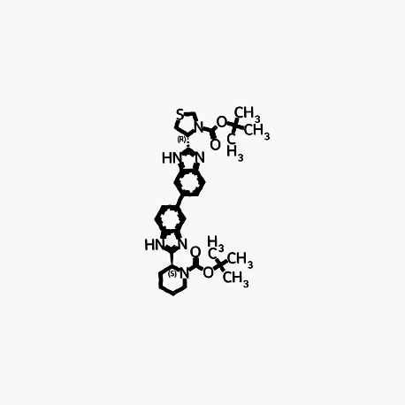 CC(C)(C)OC(=O)N1CCCC[C@H]1c1nc2cc(-c3ccc4nc([C@@H]5CSCN5C(=O)OC(C)(C)C)[nH]c4c3)ccc2[nH]1